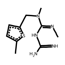 C/N=C(\NC(=N)N)N(C)Cc1ccc(C)s1